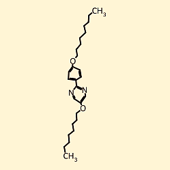 CCCCCCCCCOc1ccc(-c2ncc(OCCCCCCCC)cn2)cc1